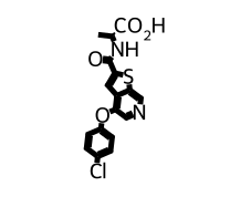 C[C@@H](NC(=O)c1cc2c(Oc3ccc(Cl)cc3)cncc2s1)C(=O)O